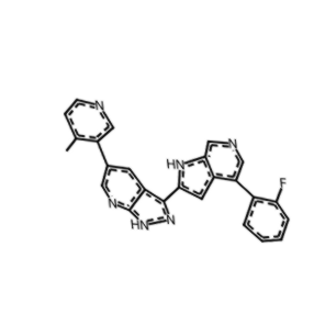 Cc1ccncc1-c1cnc2[nH]nc(-c3cc4c(-c5ccccc5F)cncc4[nH]3)c2c1